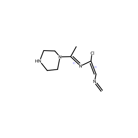 C=N/C=C(Cl)\N=C(/C)N1CCNCC1